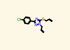 C=CCSc1nc(-c2ccc(Cl)cc2)nn1CC=C